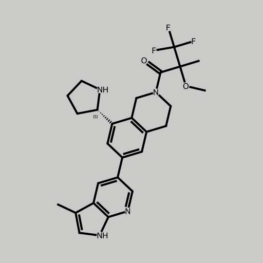 COC(C)(C(=O)N1CCc2cc(-c3cnc4[nH]cc(C)c4c3)cc([C@@H]3CCCN3)c2C1)C(F)(F)F